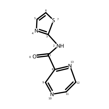 O=C(Nc1n[c]cs1)c1cnccn1